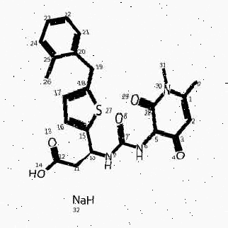 CC1=CC(=O)C(NC(=O)N[C@@H](CC(=O)O)c2ccc(Cc3ccccc3C)s2)C(=O)N1C.[NaH]